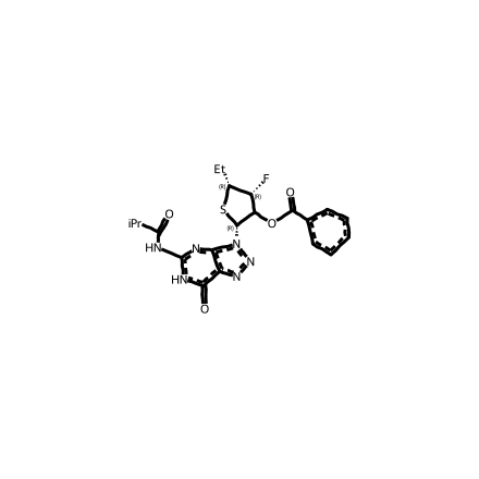 CC[C@H]1S[C@@H](n2nnc3c(=O)[nH]c(NC(=O)C(C)C)nc32)C(OC(=O)c2ccccc2)[C@H]1F